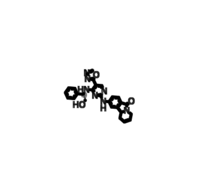 O=C1c2ccc(Nc3ncc(-c4nnco4)c(N[C@H](CO)c4ccccc4)n3)cc2C2CC=CCN12